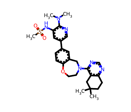 CN(C)c1ncc(-c2ccc3c(c2)CN(c2ncnc4c2CC(C)(C)CC4)CCO3)cc1NS(C)(=O)=O